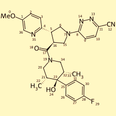 COc1ccc([C@@H]2CN(c3ccc(C#N)nn3)C[C@H]2C(=O)N2C[C@@H](C)[C@@](O)(c3ccc(F)cc3)[C@@H](C)C2)nc1